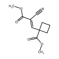 COC(=O)/C(C#N)=C/C1(C(=O)OC)CCC1